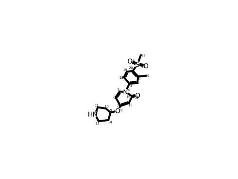 Cc1cc(-n2ccc(OC3CCNCC3)cc2=O)ccc1S(C)(=O)=O